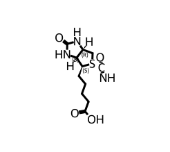 N=C=O.O=C(O)CCCC[C@@H]1SC[C@@H]2NC(=O)N[C@@H]21